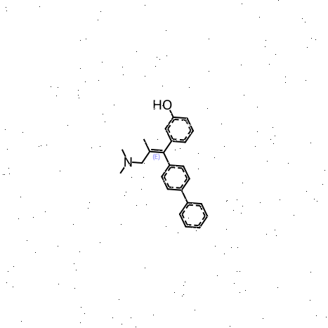 C/C(CN(C)C)=C(/c1ccc(-c2ccccc2)cc1)c1cccc(O)c1